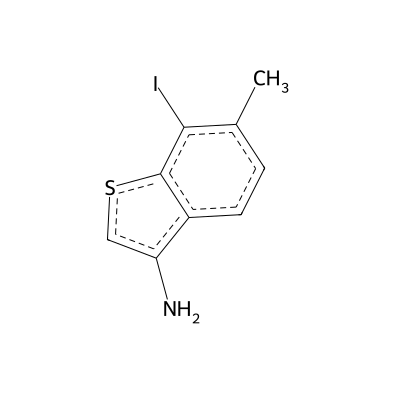 Cc1ccc2c(N)csc2c1I